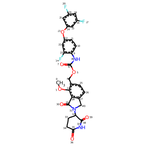 COc1c(COC(=O)Nc2ccc(Oc3cc(F)cc(F)c3)cc2F)ccc2c1C(=O)N(C1CCC(=O)NC1=O)C2